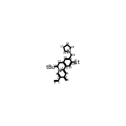 C=CC1=CN2C(=CC1=C)c1cc(CC)c(CN3CCCC3)cc1CC2C(C)(C)C